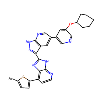 CC(=O)c1ccc(-c2ccnc3[nH]c(-c4n[nH]c5ncc(-c6cncc(OC7CCCCC7)c6)cc45)nc23)s1